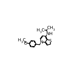 COc1ccc(CN2C=CC(NC(C)C)=C3SCC=C32)cc1